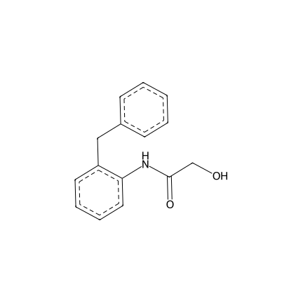 O=C(CO)Nc1ccccc1Cc1ccccc1